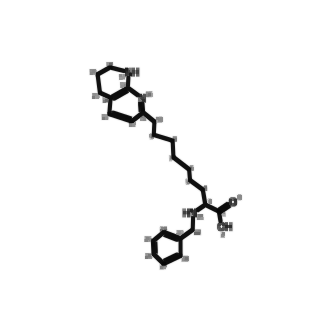 O=C(O)C(CCCCCCCc1ccc2c(n1)NCCC2)NCc1ccccc1